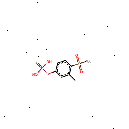 Cc1cc(OP(O)(O)=S)ccc1S(=O)(=O)C(C)(C)C